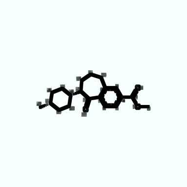 COC(=O)c1ccc2c(c1)CCCC([C@H]1CC[C@@H](C)CC1)C2=O